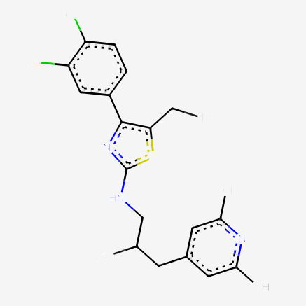 Cc1cc(CC(CNc2nc(-c3ccc(Cl)c(Cl)c3)c(CC(C)C)s2)C(=O)O)cc(C)n1